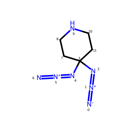 [N-]=[N+]=NC1(N=[N+]=[N-])CCNCC1